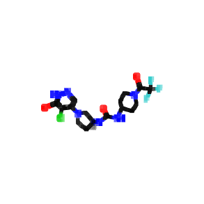 O=C(NC1CCN(C(=O)C(F)(F)F)CC1)N[C@H]1CCN(c2cn[nH]c(=O)c2Cl)C1